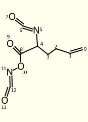 C=CCCC(N=C=O)C(=O)ON=C=O